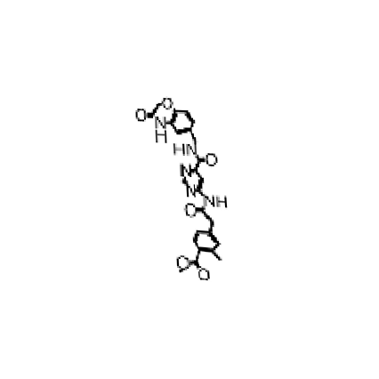 COC(=O)c1ccc(CC(=O)Nc2cc(C(=O)NCc3ccc4c(c3)NC(=O)CO4)ncn2)cc1C